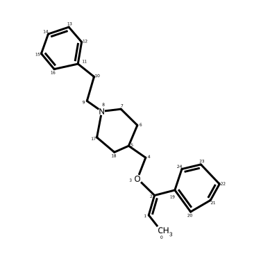 CC=C(OCC1CCN(CCc2ccccc2)CC1)c1ccccc1